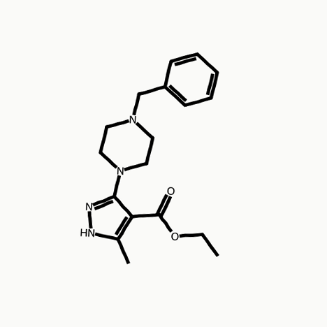 CCOC(=O)c1c(N2CCN(Cc3ccccc3)CC2)n[nH]c1C